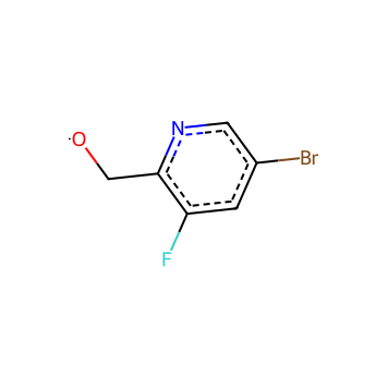 [O]Cc1ncc(Br)cc1F